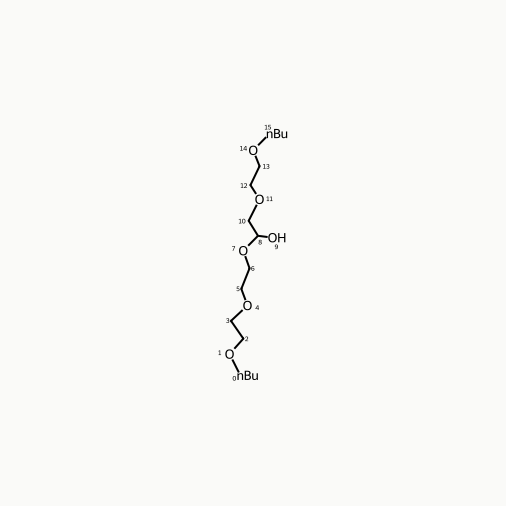 CCCCOCCOCCOC(O)COCCOCCCC